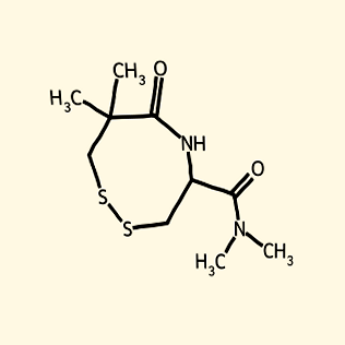 CN(C)C(=O)C1CSSCC(C)(C)C(=O)N1